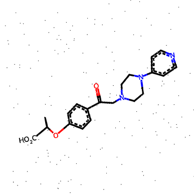 CC(Oc1ccc(C(=O)CN2CCN(c3ccncc3)CC2)cc1)C(=O)O